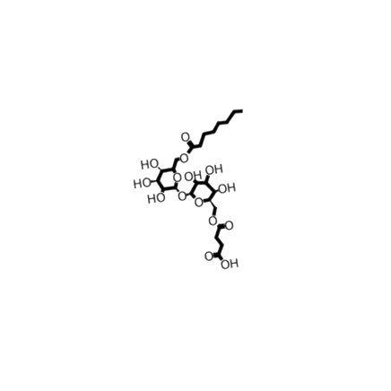 CCCCCCCC(=O)OCC1O[C@@H](O[C@@H]2O[C@H](COC(=O)CCC(=O)O)[C@H](O)C(O)C2O)C(O)[C@@H](O)[C@@H]1O